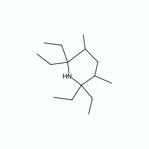 CCC1(CC)NC(CC)(CC)C(C)[CH]C1C